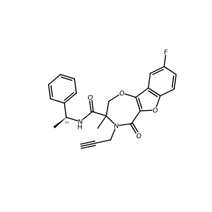 C#CCN1C(=O)c2oc3ccc(F)cc3c2OCC1(C)C(=O)N[C@@H](C)c1ccccc1